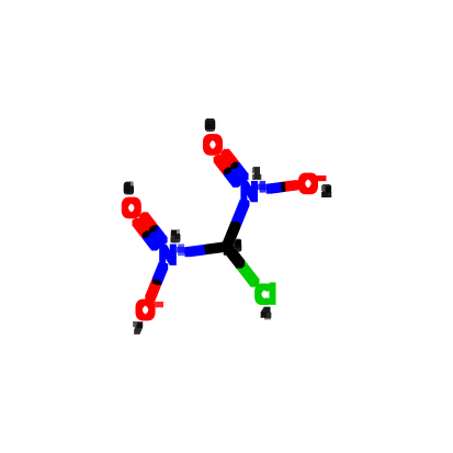 O=[N+]([O-])[C](Cl)[N+](=O)[O-]